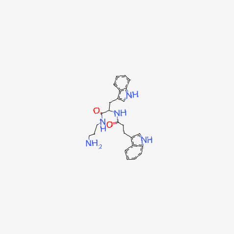 NCCCNC(=O)C(Cc1c[nH]c2ccccc12)NC(=O)CCc1c[nH]c2ccccc12